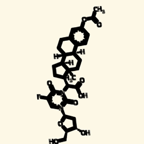 CC(=O)Oc1ccc2c(c1)CC[C@@H]1[C@@H]2CC[C@]2(C)[C@@H](C(C(=O)O)n3c(=O)c(F)cn([C@H]4C[C@H](O)[C@@H](CO)O4)c3=O)CC[C@@H]12